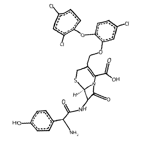 NC(C(=O)NC1C(=O)N2C(C(=O)O)=C(COc3cc(Cl)ccc3Oc3ccc(Cl)cc3Cl)CS[C@H]12)c1ccc(O)cc1